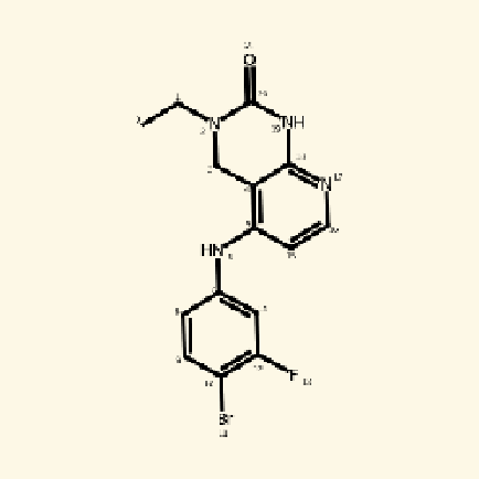 CCN1Cc2c(Nc3ccc(Br)c(F)c3)ccnc2NC1=O